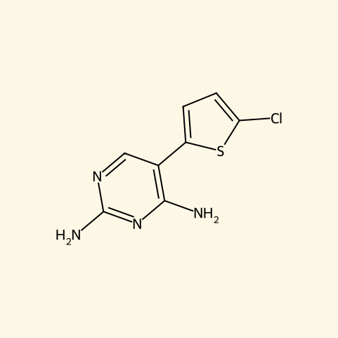 Nc1ncc(-c2ccc(Cl)s2)c(N)n1